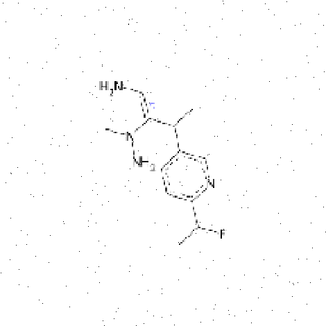 CC(F)c1ccc(C(C)/C(=C/N)N(C)N)cn1